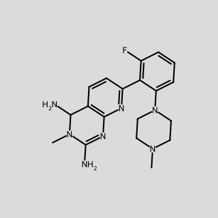 CN1CCN(c2cccc(F)c2-c2ccc3c(n2)N=C(N)N(C)C3N)CC1